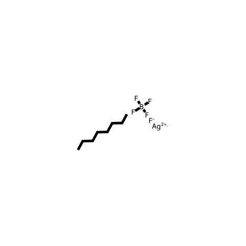 CCCCCCCC.F[B-](F)(F)F.[Ag+2].[F-]